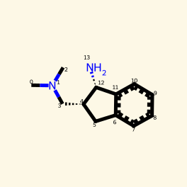 CN(C)C[C@H]1Cc2ccccc2[C@H]1N